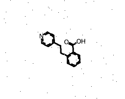 O=C(O)c1ccccc1CCc1ccncc1